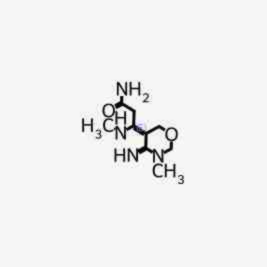 CN/C(CC(N)=O)=C1/COCN(C)C1=N